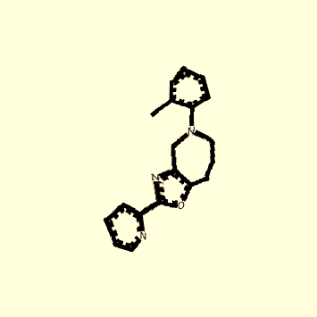 Cc1ccccc1N1CCCc2oc(-c3ccccn3)nc2C1